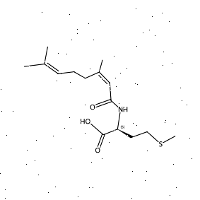 CSCC[C@H](NC(=O)C=C(C)CCC=C(C)C)C(=O)O